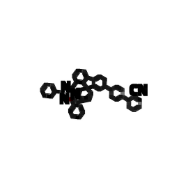 N#Cc1ccccc1-c1ccc(-c2ccc3c(c2)C2(c4c(-c5nc(-c6ccccc6)nc(-c6ccccc6)n5)cccc4-3)C3CC4CC(C3)CC2C4)cc1